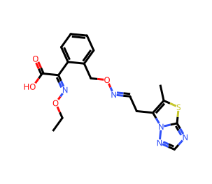 CCON=C(C(=O)O)c1ccccc1CON=CCc1c(C)sc2ncnn12